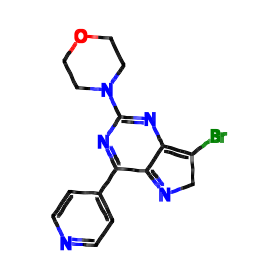 BrC1=c2nc(N3CCOCC3)nc(-c3ccncc3)c2=NC1